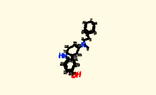 CN(CCc1ccccc1)C1CCc2[nH]c3ccc(O)cc3c2C1